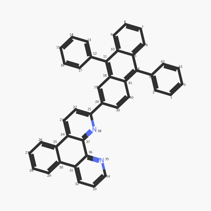 c1ccc(-c2c3ccccc3c(-c3ccccc3)c3cc(-c4ccc5c6ccccc6c6cccnc6c5n4)ccc23)cc1